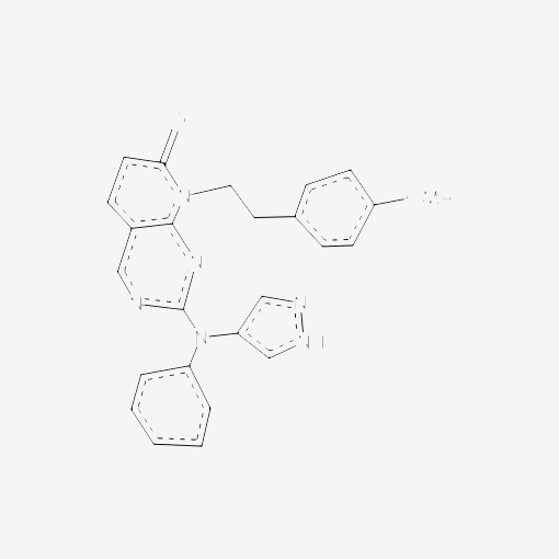 COc1ccc(CCn2c(=O)ccc3cnc(N(c4ccccc4)c4cn[nH]c4)nc32)cc1